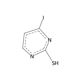 Sc1nccc(I)n1